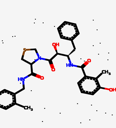 Cc1ccccc1CNC(=O)C1CSCN1C(=O)[C@@H](O)[C@H](Cc1ccccc1)NC(=O)c1cccc(O)c1C